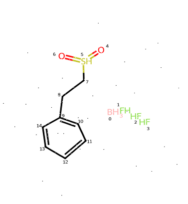 B.F.F.F.O=[SH](=O)CCc1ccccc1